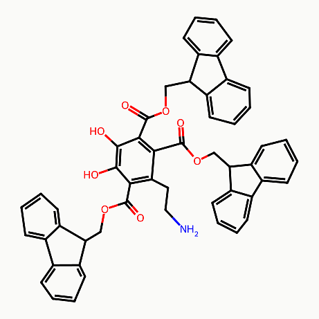 NCCc1c(C(=O)OCC2c3ccccc3-c3ccccc32)c(O)c(O)c(C(=O)OCC2c3ccccc3-c3ccccc32)c1C(=O)OCC1c2ccccc2-c2ccccc21